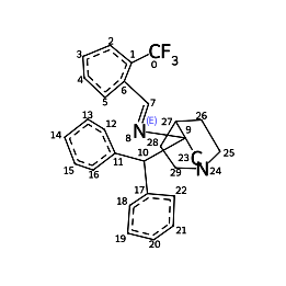 FC(F)(F)c1ccccc1/C=N/C1(C(c2ccccc2)c2ccccc2)CN2CCC1CC2